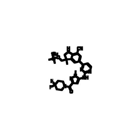 Cn1nc(C(=O)N2CCC(F)(F)CC2)cc1Nc1nccc(-c2cc(C#N)c3c(c2)C(C)(CO[Si](C)(C)C(C)(C)C)CN3)n1